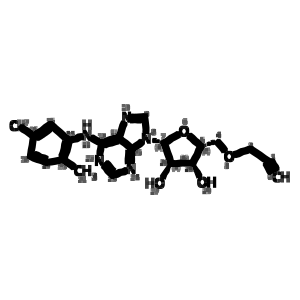 C#CCOC[C@H]1O[C@@H](n2cnc3c(Nc4cc(Cl)ccc4C)ncnc32)[C@H](O)[C@@H]1O